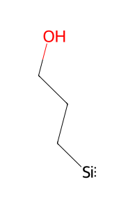 OCCC[Si]